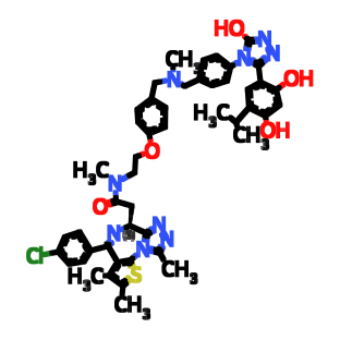 Cc1sc2c(c1C)C(c1ccc(Cl)cc1)=N[C@@H](CC(=O)N(C)CCOc1ccc(CN(C)Cc3ccc(-n4c(O)nnc4-c4cc(C(C)C)c(O)cc4O)cc3)cc1)c1nnc(C)n1-2